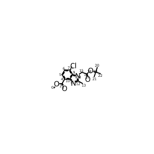 COC(=O)c1ccc(Cl)c2c1nc(C)n2CC(=O)OC(C)(C)C